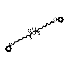 O=C(OC(=O)C(=S)CCCCCCCCOc1ccccc1)C(=S)CCCCCCCCOc1ccccc1